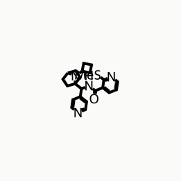 CSc1ncccc1C(=O)NC(c1ccncc1)C12CCC(CC1)N2C1CCC1